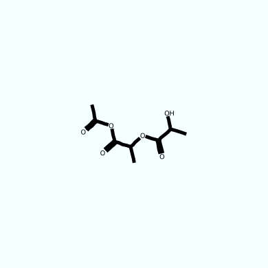 CC(=O)OC(=O)C(C)OC(=O)C(C)O